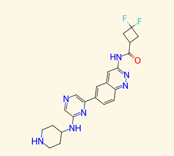 O=C(Nc1cc2cc(-c3cncc(NC4CCNCC4)n3)ccc2nn1)C1CC(F)(F)C1